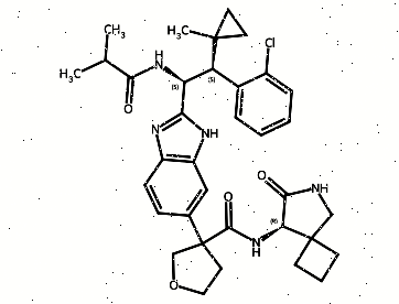 CC(C)C(=O)N[C@H](c1nc2ccc(C3(C(=O)N[C@H]4C(=O)NCC45CCC5)CCOC3)cc2[nH]1)[C@H](c1ccccc1Cl)C1(C)CC1